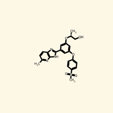 Cc1ccc2nc(-c3cc(Oc4ccc(S(C)(=O)=O)cc4)cc(O[C@@H](C)CO)c3)[nH]c2n1